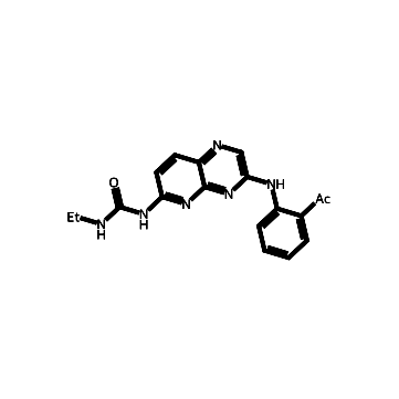 CCNC(=O)Nc1ccc2ncc(Nc3ccccc3C(C)=O)nc2n1